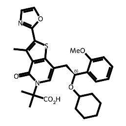 COc1ccccc1[C@H](Cc1cn(C(C)(C)C(=O)O)c(=O)c2c(C)c(-c3ncco3)sc12)OC1CCCCC1